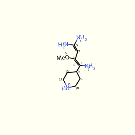 CO/C(C=C(N)N)=C(/N)C1CCNCC1